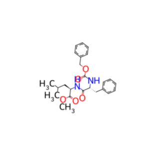 COC(=O)[C@@H](CC(C)C)NC(=O)[C@@H](Cc1ccccc1)NC(=O)OCc1ccccc1